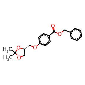 CC1(C)OC[C@@H](COc2ccc(C(=O)OCc3ccccc3)cc2)O1